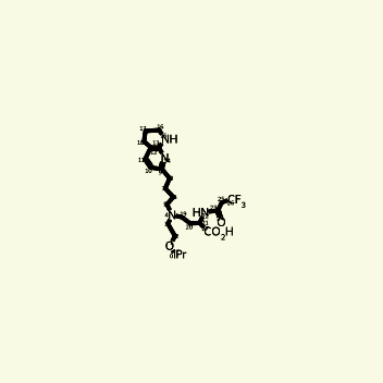 CC(C)OCCN(CCCCc1ccc2c(n1)NCCC2)CCC(NC(=O)CC(F)(F)F)C(=O)O